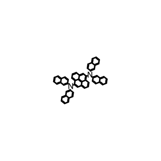 c1ccc2cc(N(c3ccc4ccccc4c3)c3cc4cccc5c(N(c6ccc7ccccc7c6)c6ccc7ccccc7c6)cc6cccc3c6c45)ccc2c1